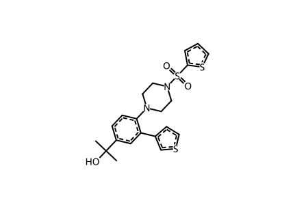 CC(C)(O)c1ccc(N2CCN(S(=O)(=O)c3cccs3)CC2)c(-c2ccsc2)c1